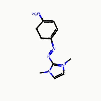 Cn1cc[n+](C)c1N=NC1=CC=C(N)CC1